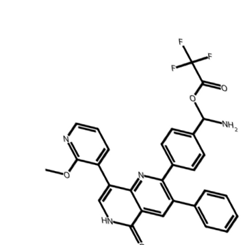 COc1ncccc1-c1c[nH]c(=O)c2cc(-c3ccccc3)c(-c3ccc(C(N)OC(=O)C(F)(F)F)cc3)nc12